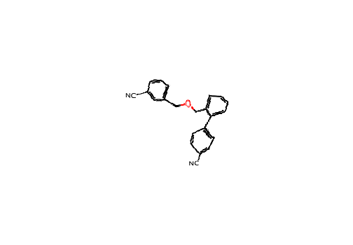 N#Cc1ccc(-c2ccccc2COCc2cccc(C#N)c2)cc1